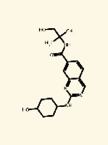 CC(C)(CO)NC(=O)c1ccc2cnc(NC3CCC(O)CC3)nc2c1